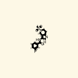 CS(=O)(=O)N1CCc2n[nH]c(NC(=O)c3cccc(F)c3)c2C1